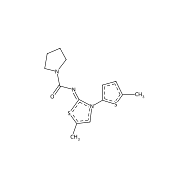 Cc1ccc(-n2cc(C)s/c2=N\C(=O)N2CCCC2)s1